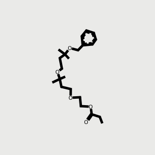 CCC(=O)OCCOCCC(C)(C)OCCC(C)(C)OCc1ccccc1